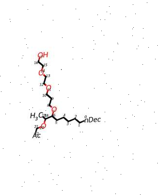 CCCCCCCCCCCCCCCC(OCCCOCCOCCO)C(C)OCC(C)=O